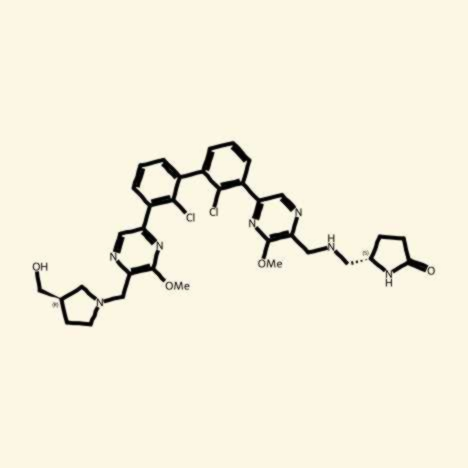 COc1nc(-c2cccc(-c3cccc(-c4cnc(CN5CC[C@@H](CO)C5)c(OC)n4)c3Cl)c2Cl)cnc1CNC[C@@H]1CCC(=O)N1